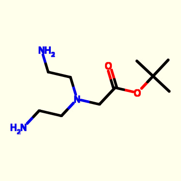 CC(C)(C)OC(=O)CN(CCN)CCN